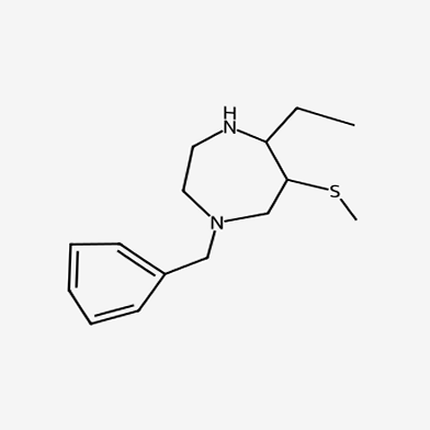 CCC1NCCN(Cc2ccccc2)CC1SC